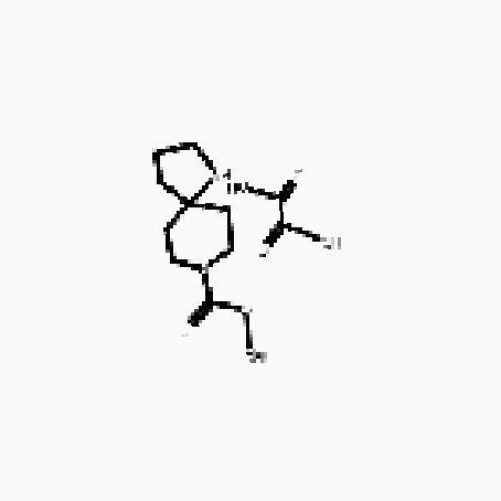 CC(C)(C)OC(=O)N1CCC2(CCCN2)CC1.O=C(O)C(=O)O